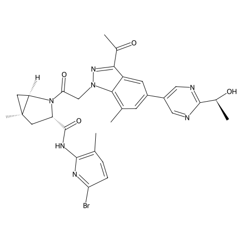 CC(=O)c1nn(CC(=O)N2[C@H](C(=O)Nc3nc(Br)ccc3C)C[C@@]3(C)C[C@@H]23)c2c(C)cc(-c3cnc([C@H](C)O)nc3)cc12